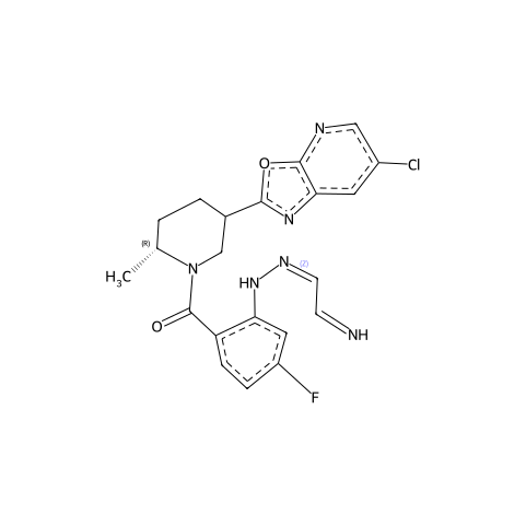 C[C@@H]1CCC(c2nc3cc(Cl)cnc3o2)CN1C(=O)c1ccc(F)cc1N/N=C\C=N